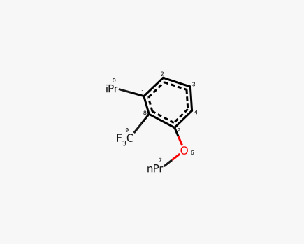 [CH2]C(C)c1cccc(OCCC)c1C(F)(F)F